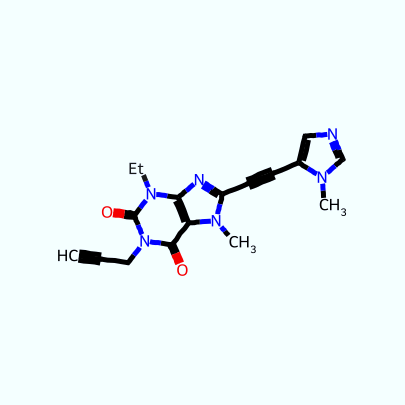 C#CCn1c(=O)c2c(nc(C#Cc3cncn3C)n2C)n(CC)c1=O